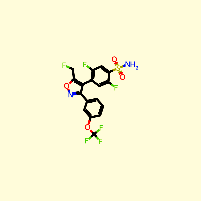 NS(=O)(=O)c1cc(F)c(-c2c(-c3cccc(OC(F)(F)F)c3)noc2CF)cc1F